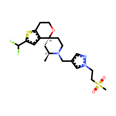 C[C@H]1C[C@@]2(CCN1Cc1cnn(CCS(C)(=O)=O)c1)OCCc1sc(C(F)F)cc12